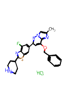 Cc1cn2nc(-c3cc(F)c4nc(C5CCNCC5)sc4c3)cc(OCc3ccccc3)c2n1.Cl